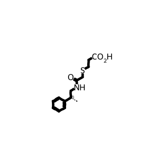 C[C@@H](CNC(=O)CSCCC(=O)O)c1ccccc1